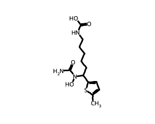 Cc1ccc(C(CCCCCNC(=O)O)N(O)C(N)=O)s1